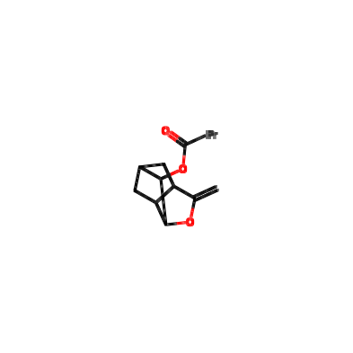 C=C1OC2C3CC(CC13)C2OC(=O)C(C)C